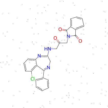 O=C(CNC1=Nc2cccc(Cl)c2C(c2ccccc2)=NC1)CN1C(=O)c2ccccc2C1=O